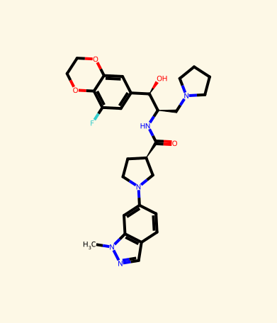 Cn1ncc2ccc(N3CC[C@@H](C(=O)N[C@H](CN4CCCC4)[C@H](O)c4cc(F)c5c(c4)OCCO5)C3)cc21